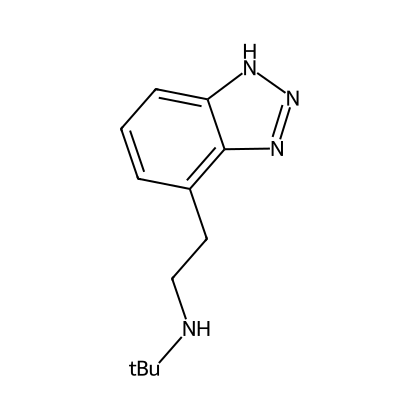 CC(C)(C)NCCc1cccc2[nH]nnc12